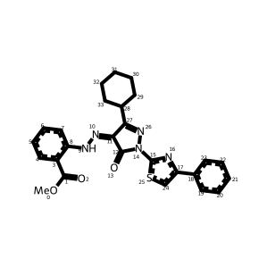 COC(=O)c1ccccc1N/N=C1\C(=O)N(c2nc(-c3ccccc3)cs2)N=C1C1CCCCC1